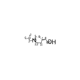 C[C](C)CN1CCC(=CCO)CC1